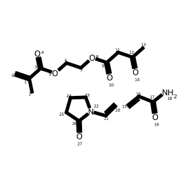 C=C(C)C(=O)OCCOC(=O)CC(C)=O.C=CC(N)=O.C=CN1CCCC1=O